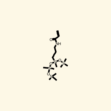 C=CC(=O)NCCC[Si](C)(O[Si](C)(C)C)O[Si](C)(C)O[Si](C)(C)C